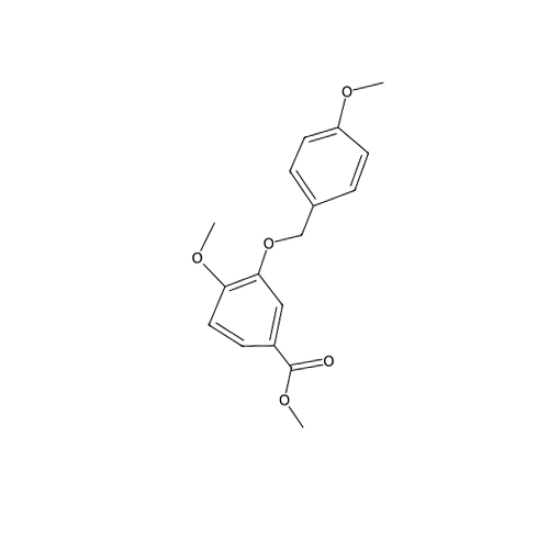 COC(=O)c1ccc(OC)c(OCc2ccc(OC)cc2)c1